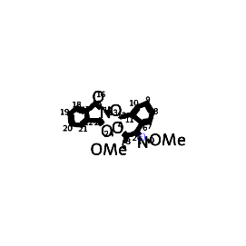 CO/N=C(/C(=O)OC)c1ccccc1CON1C(=O)c2ccccc2C1=O